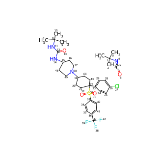 CC(C)(C)N=C=O.CC(C)(C)NC(=O)NC1CCN(C2CCC(c3ccc(Cl)cc3)(S(=O)(=O)c3ccc(C(F)(F)F)cc3)CC2)CC1